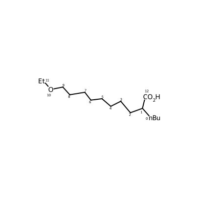 CCCCC(CCCCCCCCOCC)C(=O)O